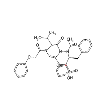 CC(=O)N([C@@H](Cc1ccccc1)C(=O)C(=O)O)N1C(=O)C(C(C)C)N(C(=O)COc2ccccc2)C=C1c1ccccc1